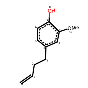 C=CCCc1ccc(O)c(OC)c1